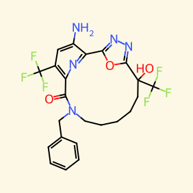 Nc1cc(C(F)(F)F)c2nc1-c1nnc(o1)C(O)(C(F)(F)F)CCCCCN(Cc1ccccc1)C2=O